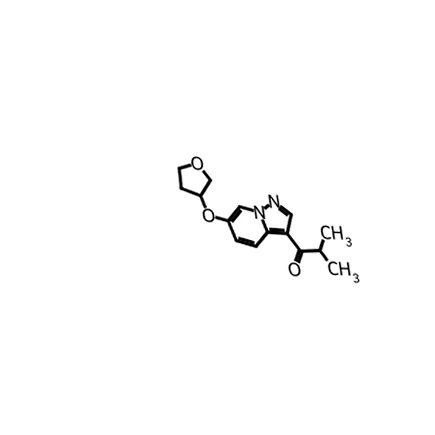 CC(C)C(=O)c1cnn2cc(OC3CCOC3)ccc12